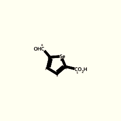 O=Cc1ccc(C(=O)O)[se]1